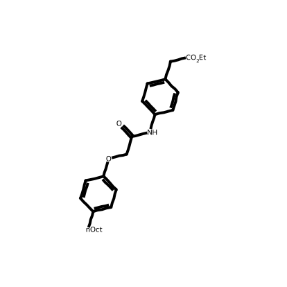 CCCCCCCCc1ccc(OCC(=O)Nc2ccc(CC(=O)OCC)cc2)cc1